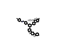 CCCCCCCCC1(CCCCCCCC)c2cc(C)ccc2-c2ccc(-c3cc(-c4ccc(/C=C/c5ccc(C)cc5)cc4)cc(-c4ccc5sc6cc7oc8ccccc8c7cc6c5c4)c3)cc21